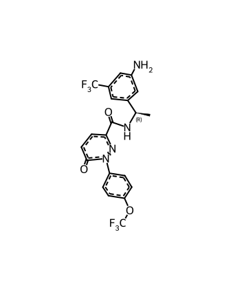 C[C@@H](NC(=O)c1ccc(=O)n(-c2ccc(OC(F)(F)F)cc2)n1)c1cc(N)cc(C(F)(F)F)c1